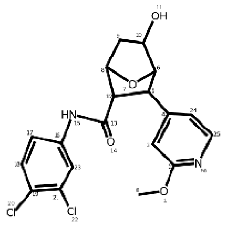 COc1cc(C2C3OC(CC3O)C2C(=O)Nc2ccc(Cl)c(Cl)c2)ccn1